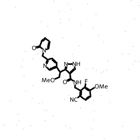 COCC(c1ccc(Cn2ccccc2=O)nc1)c1n[nH]cc1C(=O)NCc1c(C#N)ccc(OC)c1F